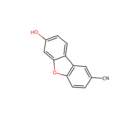 N#Cc1ccc2oc3cc(O)ccc3c2c1